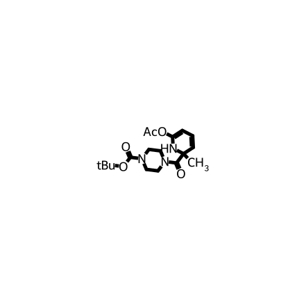 CC(=O)OC1=CC=CC(C)(C(=O)N2CCN(C(=O)OC(C)(C)C)CC2)N1